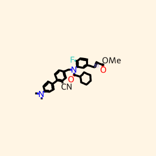 COC(=O)/C=C/c1ccc(F)c(N(Cc2ccc(-c3ccc(N(C)C)cc3)c(C#N)c2)C(=O)C2CCCCC2)c1